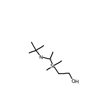 C[C]([N]C(C)(C)C)[Si](C)(C)CCO